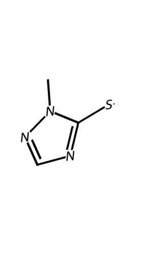 Cn1ncnc1[S]